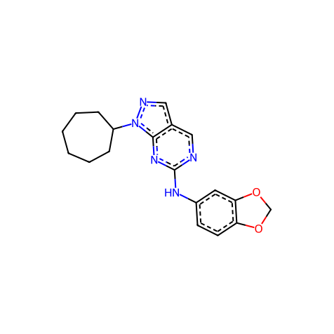 c1cc2c(cc1Nc1ncc3cnn(C4CCCCCC4)c3n1)OCO2